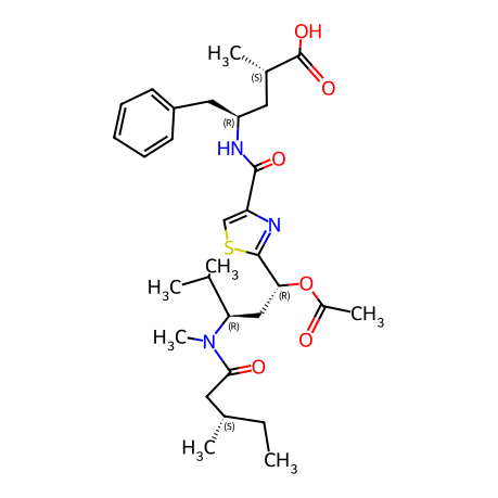 CC[C@H](C)CC(=O)N(C)[C@H](C[C@@H](OC(C)=O)c1nc(C(=O)N[C@@H](Cc2ccccc2)C[C@H](C)C(=O)O)cs1)C(C)C